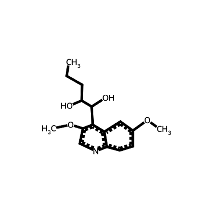 CCCC(O)C(O)c1c(OC)cnc2ccc(OC)cc12